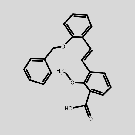 COc1c(C=Cc2ccccc2OCc2ccccc2)cccc1C(=O)O